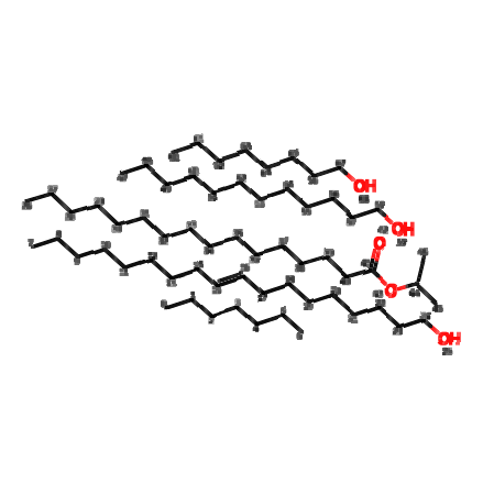 CCCCCCC.CCCCCCCCC=CCCCCCCCCO.CCCCCCCCCCCCCCCC(=O)OC(C)C.CCCCCCCCCCCCO.CCCCCCCCO